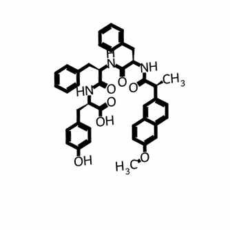 COc1ccc2cc([C@H](C)C(=O)N[C@H](Cc3ccccc3)C(=O)N[C@H](Cc3ccccc3)C(=O)N[C@H](Cc3ccc(O)cc3)C(=O)O)ccc2c1